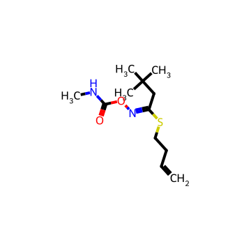 C=CCCSC(CC(C)(C)C)=NOC(=O)NC